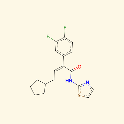 O=C(Nc1nccs1)C(=CCC1CCCC1)c1ccc(F)c(F)c1